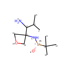 CC(C)C(N)C1(N[S@@+]([O-])C(C)(C)C)COC1